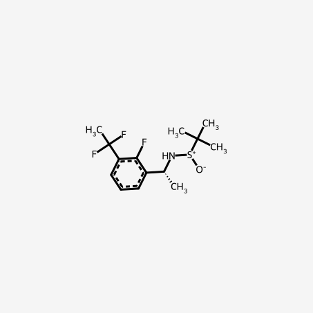 C[C@@H](N[S+]([O-])C(C)(C)C)c1cccc(C(C)(F)F)c1F